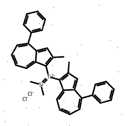 Cc1cc2c(-c3ccccc3)ccccc-2[c]1[Ti+2]([c]1c(C)cc2c(-c3ccccc3)ccccc1-2)=[Si](C)C.[Cl-].[Cl-]